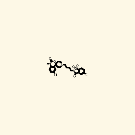 CN1C(=O)OC2(CCN(CCCCN3C(=O)c4cc(Cl)ccc4S3(=O)=O)CC2)c2cc(Cl)ccc21